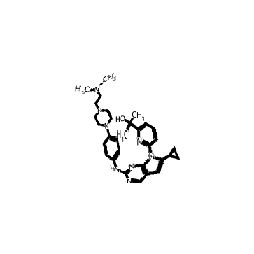 CN(C)CCN1CCN(c2ccc(Nc3ncc4cc(C5CC5)n(-c5cccc(C(C)(C)O)n5)c4n3)cc2)CC1